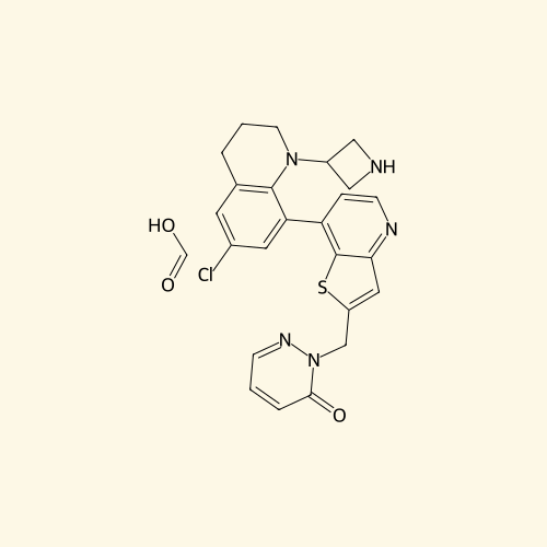 O=CO.O=c1cccnn1Cc1cc2nccc(-c3cc(Cl)cc4c3N(C3CNC3)CCC4)c2s1